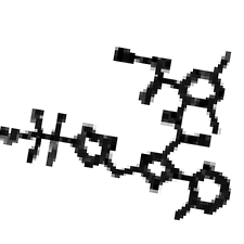 Cc1cccnc1-n1nc(Cn2cc(C(F)(F)C(F)(F)C(F)(F)F)nn2)cc1C(=O)Nc1c(C)cc(I)cc1C(=O)NC(C)(C)C